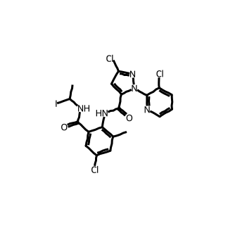 Cc1cc(Cl)cc(C(=O)NC(C)I)c1NC(=O)c1cc(Cl)nn1-c1ncccc1Cl